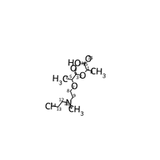 CC(OC(=O)C(C)OCCN(C)CCCl)C(=O)O